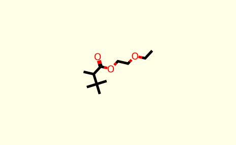 CCOCCOC(=O)C(C)C(C)(C)C